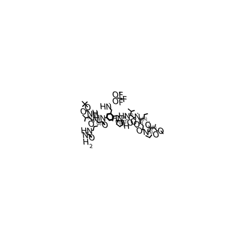 CC[C@H](C)[C@@H]([C@@H](CC(=O)N1CCC[C@H]1[C@H](OC)[C@@H](C)C(=O)OC)OC)N(C)C(=O)[C@@H](NC(=O)[C@@H]1[C@H]2CC[C@H](C2)[N+]1(C)Cc1ccc(NC(=O)[C@H](CCCNC(N)=O)NC(=O)[C@@H](NC(=O)OC(C)(C)C)C(C)C)cc1CNC)C(C)C.O=C([O-])C(F)(F)F